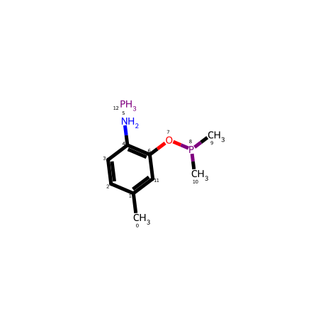 Cc1ccc(N)c(OP(C)C)c1.P